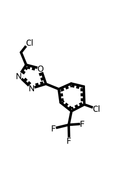 FC(F)(F)c1cc(-c2nnc(CCl)o2)ccc1Cl